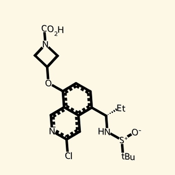 CC[C@H](N[S+]([O-])C(C)(C)C)c1ccc(OC2CN(C(=O)O)C2)c2cnc(Cl)cc12